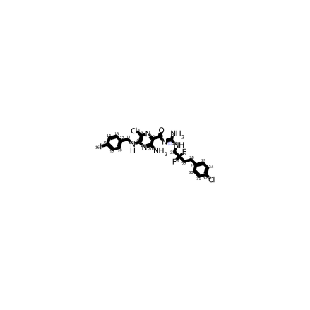 N/C(=N\C(=O)c1nc(Cl)c(NCc2ccc(I)cc2)nc1N)NCC(F)(F)CCc1ccc(Cl)cc1